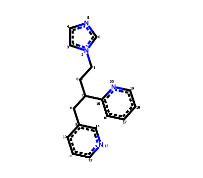 [CH](Cn1ccnc1)C(Cc1cccnc1)c1ccccn1